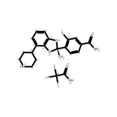 C[C@]1(c2ccc(C(N)=O)cc2F)Oc2cccc(C3CCNCC3)c2O1.O=C(O)C(F)(F)F